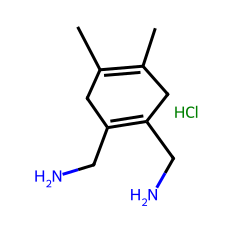 CC1=C(C)CC(CN)=C(CN)C1.Cl